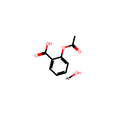 CC(=O)Oc1ccccc1C(=O)O.[OH][Al]